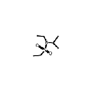 CCN(C(C)C)S(=O)(=O)CC